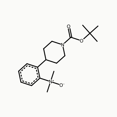 CC(C)(C)OC(=O)N1CCC(c2ccccc2[N+](C)(C)[O-])CC1